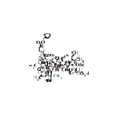 C/C=C/C[C@@H](C)[C@@H](OC(C)=O)[C@@H](C(=O)N[C@@H](CC)C(=O)O)N(C)C(=O)[C@H](C(C)C)N(C)C(=O)[C@H](CCC(C)C)N(C)C(=O)[C@H](CC(C)C)N(C)C(=O)[C@@H](C)NC(=O)[C@H](C)NC(=O)[C@H](CC(C)C)N(C)C(=O)[C@H](NC(=O)[C@@H]([C@H](C)COCC(=O)N1CCN(C(=O)OCc2ccccc2)CC1)N(C)C(=O)[C@H](C)NC)C(C)C